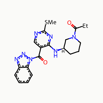 CCC(=O)N1CCC[C@@H](Nc2nc(SC)ncc2C(=O)n2nnc3ccccc32)C1